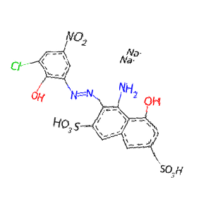 Nc1c(N=Nc2cc([N+](=O)[O-])cc(Cl)c2O)c(S(=O)(=O)O)cc2cc(S(=O)(=O)O)cc(O)c12.[Na].[Na]